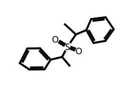 CC(c1ccccc1)S(=O)(=O)C(C)c1ccccc1